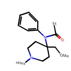 CCCCCCN1CCC(COC)(N(C(=O)CC)c2ccccc2)CC1